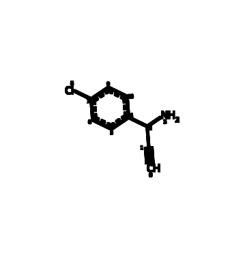 C#CC(N)c1ccc(Cl)cc1